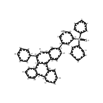 S=P(c1ccccc1)(c1ccccc1)c1cncc(-c2ccc3c(c2)nc(-c2ccccc2)c2c4ccccc4c4ccccc4c32)c1